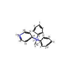 CC(=O)[N+](c1ccccc1)(c1ccccc1)c1ccncc1